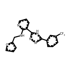 FC(F)(F)c1cccc(-c2nnc(-c3cccnc3NCc3ccco3)[nH]2)c1